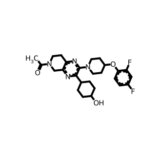 CC(=O)N1CCc2nc(N3CCC(Oc4ccc(F)cc4F)CC3)c(C3CCC(O)CC3)nc2C1